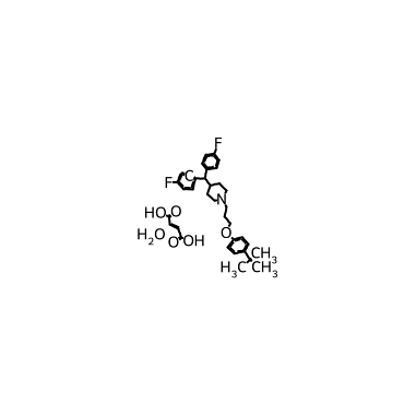 CC(C)(C)c1ccc(OCCCN2CCC(C(c3ccc(F)cc3)c3ccc(F)cc3)CC2)cc1.O.O=C(O)C=CC(=O)O